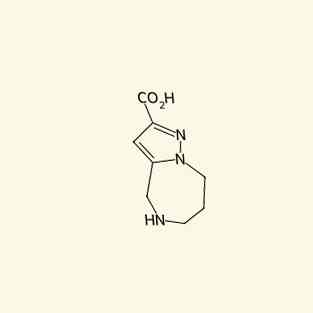 O=C(O)c1cc2n(n1)CCCNC2